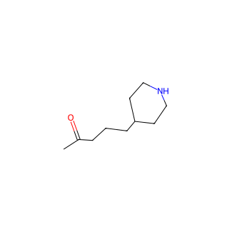 CC(=O)CCCC1CCNCC1